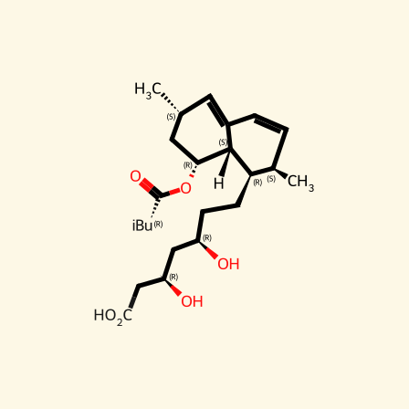 CC[C@@H](C)C(=O)O[C@@H]1C[C@H](C)C=C2C=C[C@@H](C)[C@@H](CC[C@@H](O)C[C@@H](O)CC(=O)O)[C@@H]21